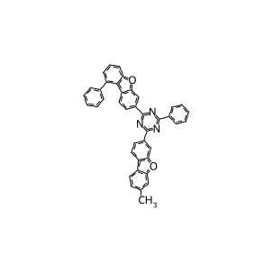 Cc1ccc2c(c1)oc1cc(-c3nc(-c4ccccc4)nc(-c4ccc5c(c4)oc4cccc(-c6ccccc6)c45)n3)ccc12